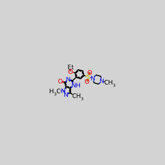 CCOc1ccc(S(=O)(=O)N2CCN(C)CC2)cc1-c1nc(=O)c2c([nH]1)c(C)nn2C